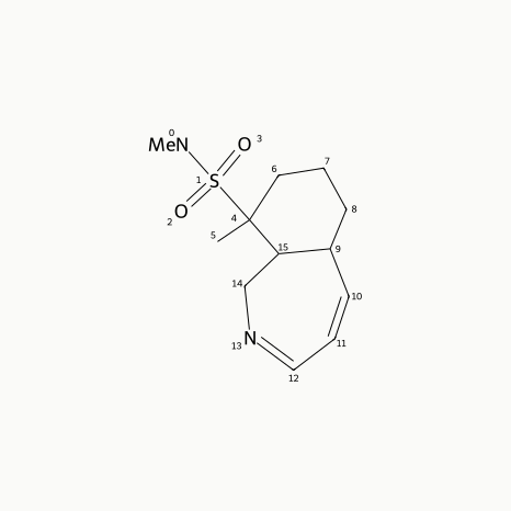 CNS(=O)(=O)C1(C)CCCC2C=CC=NCC21